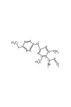 CCc1ccc(Oc2cc(C)c(C(Br)C=O)c(C)c2)cc1